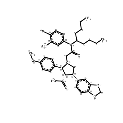 CCCCC(CCCC)N(C(=O)CN1C[C@H](c2ccc3c(c2)OCO3)[C@H](C(=O)O)[C@H]1c1ccc(OC)cc1)c1ccc(F)c(C)c1